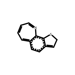 C1=CC=c2ccc3c(c2N=C1)SCC=3